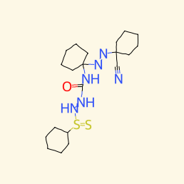 N#CC1(N=NC2(NC(=O)NNS(=S)C3CCCCC3)CCCCC2)CCCCC1